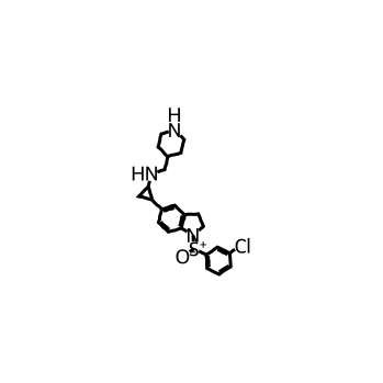 [O-][S+](c1cccc(Cl)c1)N1CCc2cc(C3CC3NCC3CCNCC3)ccc21